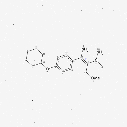 COC/C(=C(/N)c1ccc(OC2CCCCC2)cc1)N(C)N